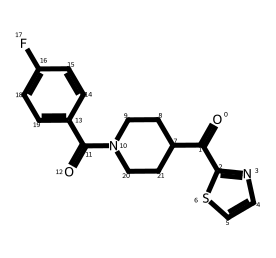 O=C(c1nccs1)C1CCN(C(=O)c2ccc(F)cc2)CC1